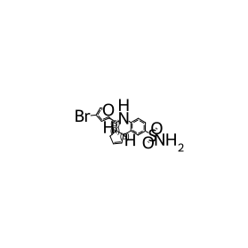 NS(=O)(=O)c1ccc2c(c1)[C@H]1C=CC[C@H]1[C@@H](c1cc(Br)co1)N2